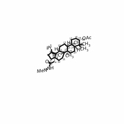 CNNC(=O)C[C@]12CCC(C(C)C)=C1[C@H]1CC[C@@H]3[C@@]4(C)CC[C@H](OC(C)=O)C(C)(C)[C@@H]4CC[C@@]3(C)[C@]1(C)CC2